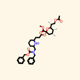 COC(=O)[C@@]1(OCCCC2CCCC(CN(Cc3ccccc3)C(=O)OCc3ccccc3)N2)C[C@@H](C)[C@@H](C)C([C@H](C)COC(C)=O)O1